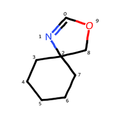 C1=NC2(CCCCC2)CO1